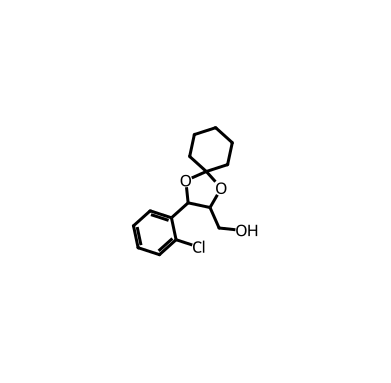 OCC1OC2(CCCCC2)OC1c1ccccc1Cl